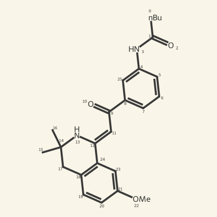 CCCCC(=O)Nc1cccc(C(=O)/C=C2\NC(C)(C)Cc3ccc(OC)cc32)c1